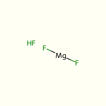 F.[F][Mg][F]